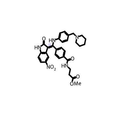 COC(=O)CCNC(=O)c1ccc(/C(Nc2ccc(CN3CCCCC3)cc2)=C2/C(=O)Nc3ccc([N+](=O)[O-])cc32)cc1